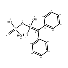 OP(O)(=S)OP(O)(O)=S(c1ccccc1)c1ccccc1